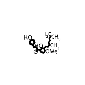 COc1ccc(C(=O)C=Cc2ccc(O)cc2)c(O)c1CC=C(C)CCC=C(C)C